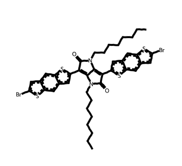 CCCCCCCCN1C(=O)C(c2cc3cc4sc(Br)cc4cc3s2)=C2C1=C(c1cc3cc4sc(Br)cc4cc3s1)C(=O)N2CCCCCCCC